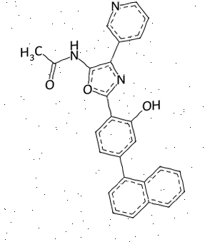 CC(=O)Nc1oc(-c2ccc(-c3cccc4ccccc34)cc2O)nc1-c1cccnc1